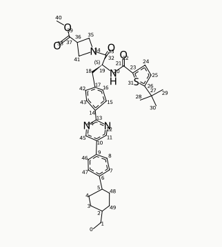 CCC1CCC(c2ccc(-c3cnc(-c4ccc(C[C@H](NC(=O)c5ccc(C(C)(C)C)s5)C(=O)N5CC(C(=O)OC)C5)cc4)nc3)cc2)CC1